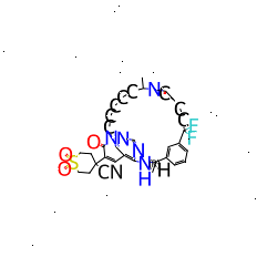 CC1CCCCCn2c(=O)c(C3(C#N)CCS(=O)(=O)CC3)cc3c(ncnc32)N[C@H](C)c2cccc(c2)C(F)(F)CCC2CN1C2